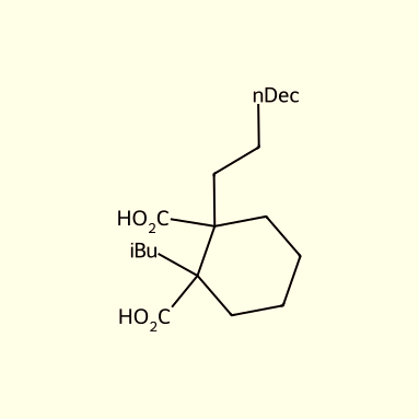 CCCCCCCCCCCCC1(C(=O)O)CCCCC1(C(=O)O)C(C)CC